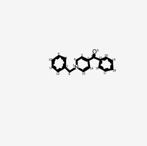 O=C(C1=CCN(Cc2ccccc2)C=C1)c1ccccc1